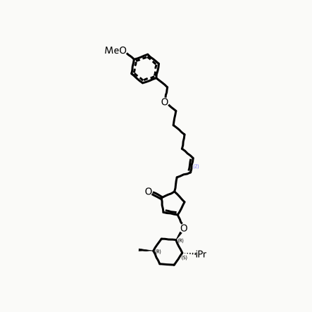 COc1ccc(COCCCC/C=C\CC2CC(O[C@@H]3C[C@H](C)CC[C@H]3C(C)C)=CC2=O)cc1